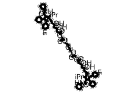 CC(C)c1c(C(=O)Nc2ccccc2)c(-c2ccccc2)c(-c2ccc(F)cc2)n1CC[C@@H](O)C[C@@H](O)CC(=O)OCC(=O)OCCOCCOC(=O)COC(=O)C[C@H](O)C[C@H](O)CCn1c(-c2ccc(F)cc2)c(-c2ccccc2)c(C(=O)Nc2ccccc2)c1C(C)C